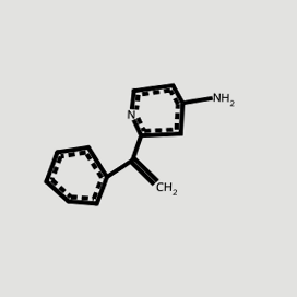 C=C(c1ccccc1)c1cc(N)ccn1